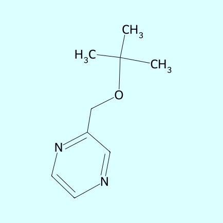 CC(C)(C)OCc1cnccn1